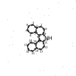 [c]1cc2ccccc2c2c1[nH]c1ccc3ccccc3c12